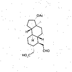 CC(=O)O[C@H]1CC[C@H]2[C@@H]3CC[C@@H](CC(=O)O)[C@H](CC=O)[C@H]3CC[C@]12C